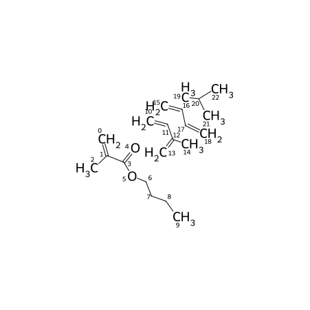 C=C(C)C(=O)OCCCC.C=CC(=C)C.C=CC=C.CC(C)C